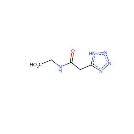 O=C(O)CNC(=O)Cc1nnn[nH]1